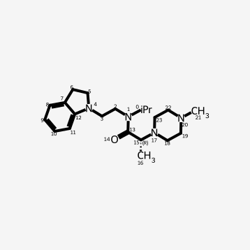 CC(C)N(CCN1CCc2ccccc21)C(=O)[C@@H](C)N1CCN(C)CC1